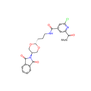 CNC(=O)c1cc(C(=O)NCCC[C@H]2OC[C@H](N3C(=O)c4ccccc4C3=O)CO2)cc(Cl)n1